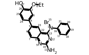 CCOc1cc(-c2ccc3nc(N)nc(N(Br)c4ccccc4)c3c2)ccc1O